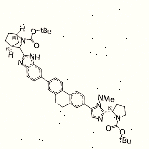 CNn1c(-c2ccc3c(c2)CCc2cc(-c4ccc5nc(C6[C@H]7CC[C@H](C7)N6C(=O)OC(C)(C)C)[nH]c5c4)ccc2-3)cnc1[C@@H]1CCCN1C(=O)OC(C)(C)C